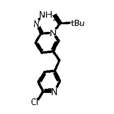 C=C(n1cc(Cc2ccc(Cl)nc2)cc/c1=N/N)C(C)(C)C